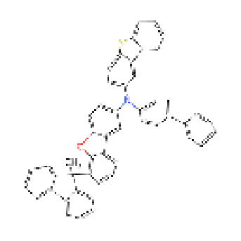 CC1(c2cccc3c2oc2ccc(N(c4ccc(-c5ccccc5)cc4)c4ccc5sc6ccccc6c5c4)cc23)c2ccccc2-c2ccccc21